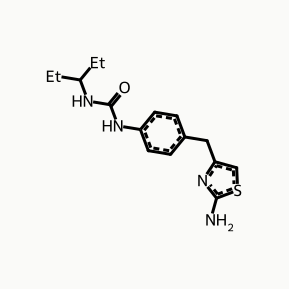 CCC(CC)NC(=O)Nc1ccc(Cc2csc(N)n2)cc1